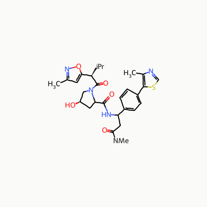 CNC(=O)CC(NC(=O)C1C[C@@H](O)CN1C(=O)[C@@H](c1cc(C)no1)C(C)C)c1ccc(-c2scnc2C)cc1